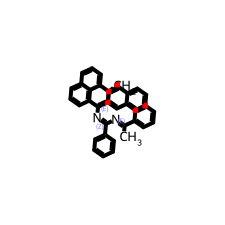 C=C/C=C(/N=C(\N=C(/C)c1ccccc1)c1ccccc1)c1cccc2cccc(-c3ccc4ccccc4c3)c12